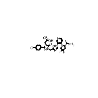 NC(=O)[C@H]1CC(F)(F)CN1c1ccncc1-n1cnc(Cn2nc(-c3ccc(Cl)cc3)n(CC(O)C(F)(F)F)c2=O)n1